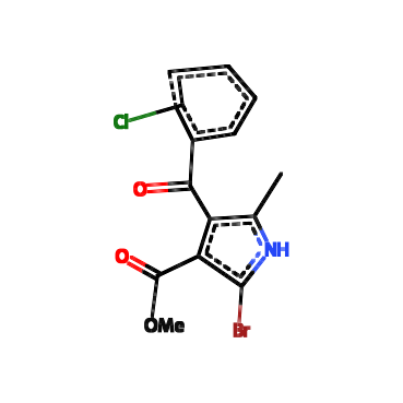 COC(=O)c1c(Br)[nH]c(C)c1C(=O)c1ccccc1Cl